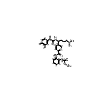 CCN(CC)CCCC(NC(=O)Nc1ccc(F)c(C)c1)c1ccc(C(=O)Nc2ccccc2NC(=O)OC(C)(C)C)nc1